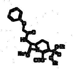 CCOP(=O)(OCC)C1=C(C(=O)[O-])N2C(=O)C(NC(=O)COc3ccccc3)C2CC1.[Na+]